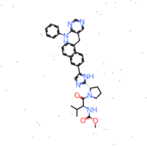 COC(=O)N[C@H](C(=O)N1CCC[C@H]1c1ncc(-c2ccc3c(Cc4cncnc4Nc4ccccc4)cccc3c2)[nH]1)C(C)C